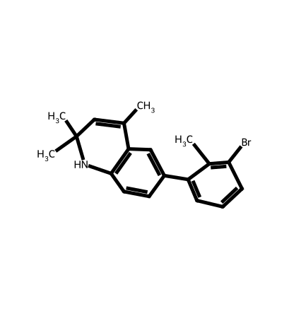 CC1=CC(C)(C)Nc2ccc(-c3cccc(Br)c3C)cc21